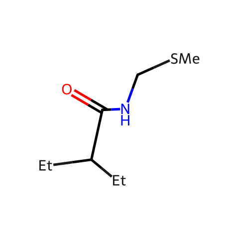 CCC(CC)C(=O)NCSC